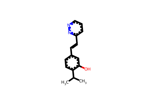 CC(C)c1ccc(/C=C/c2cccnn2)cc1O